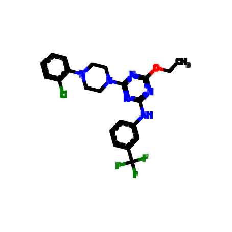 CCOc1nc(Nc2cccc(C(F)(F)F)c2)nc(N2CCN(c3ccccc3Cl)CC2)n1